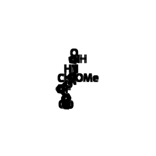 COc1nc(OCc2cccc(-c3ccc4c(c3)OCCO4)c2F)c(Cl)cc1CNC[C@@H]1CCC(=O)N1